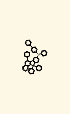 c1ccc(-c2ccc(N(c3ccccc3)c3ccc4c(c3)-c3c(-c5ccccc5)cc5ccccc5c3C4(c3ccccc3)c3ccccc3)cc2)cc1